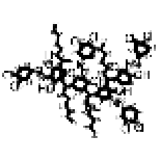 CCCCCCC(C)c1cc(C(CCCCCC)c2cc(C(CCCCCC)c3cc(C(CCCCCC)c4ccc(O)c(N=Nc5ccc(Cl)c(Cl)c5)c4O)c(O)c(N=Nc4ccc(Cl)c(Cl)c4)c3O)c(O)c(N=Nc3ccc(Cl)c(Cl)c3)c2O)c(O)c(N=Nc2ccc(Cl)c(Cl)c2)c1O